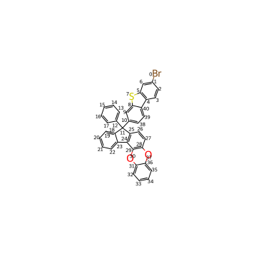 Brc1ccc2c(c1)sc1cc(C3(c4ccccc4)c4ccccc4-c4c3ccc3c4Oc4ccccc4O3)ccc12